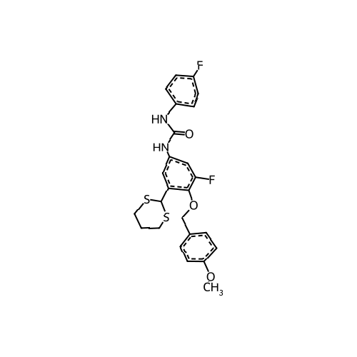 COc1ccc(COc2c(F)cc(NC(=O)Nc3ccc(F)cc3)cc2C2SCCCS2)cc1